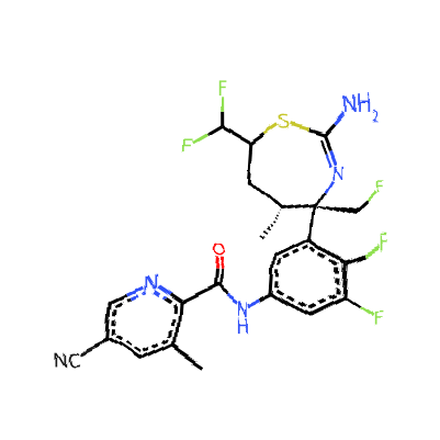 Cc1cc(C#N)cnc1C(=O)Nc1cc(F)c(F)c([C@@]2(CF)N=C(N)SC(C(F)F)C[C@H]2C)c1